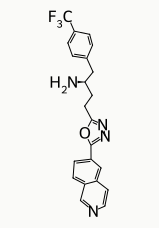 N[C@H](CCc1nnc(-c2ccc3cnccc3c2)o1)Cc1ccc(C(F)(F)F)cc1